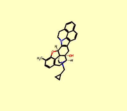 Cc1ccc2c3c1O[C@H]1c4c(c5ccc6cccc7c6c5n4CC7)C[C@@]4(O)[C@@H](C2)N(CC2CC2)CC[C@]314